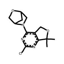 CC1(C)OCc2c(N3CC4CC3CO4)nc(Cl)nc21